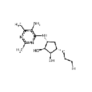 Cc1nc(C)c(N)c(N[C@@H]2C[C@H](OCCO)[C@@H](O)[C@H]2O)n1